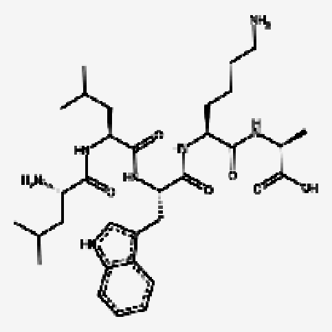 CC(C)C[C@H](NC(=O)[C@@H](N)CC(C)C)C(=O)N[C@@H](Cc1c[nH]c2ccccc12)C(=O)N[C@@H](CCCCN)C(=O)N[C@@H](C)C(=O)O